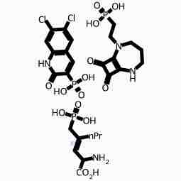 CCC/C(=C\C(N)C(=O)O)CP(=O)(O)O.O=c1[nH]c2cc(Cl)c(Cl)cc2cc1P(=O)(O)O.O=c1c2c(c1=O)N(CCP(=O)(O)O)CCCN2